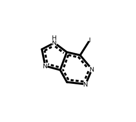 Ic1nncc2nc[nH]c12